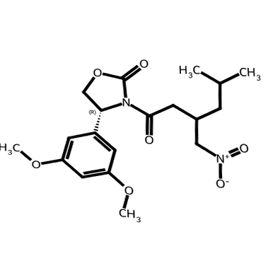 COc1cc(OC)cc([C@@H]2COC(=O)N2C(=O)CC(CC(C)C)C[N+](=O)[O-])c1